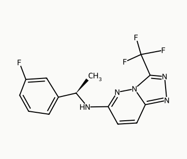 C[C@@H](Nc1ccc2nnc(C(F)(F)F)n2n1)c1cccc(F)c1